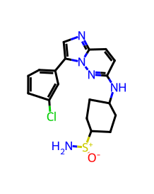 N[S+]([O-])C1CCC(Nc2ccc3ncc(-c4cccc(Cl)c4)n3n2)CC1